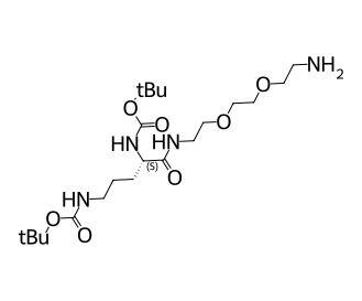 CC(C)(C)OC(=O)NCCC[C@H](NC(=O)OC(C)(C)C)C(=O)NCCOCCOCCN